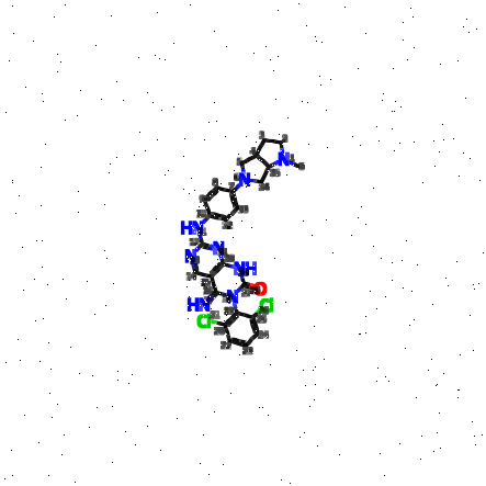 CN1CCC2CN(c3ccc(Nc4ncc5c(=N)n(-c6c(Cl)cccc6Cl)c(=O)[nH]c5n4)cc3)CC21